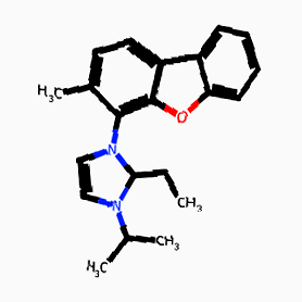 CCC1N(c2c(C)ccc3c2oc2ccccc23)C=CN1C(C)C